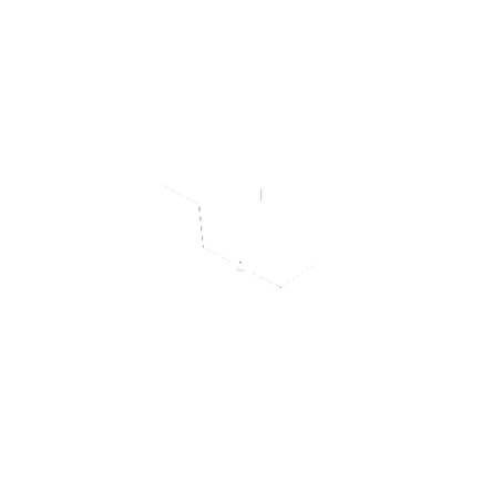 CC[CH2][Al+][CH2]C.[I-]